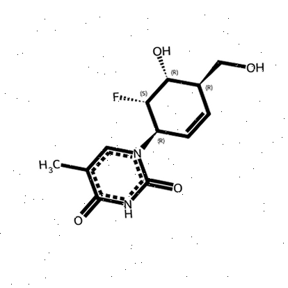 Cc1cn([C@@H]2C=C[C@H](CO)[C@@H](O)[C@H]2F)c(=O)[nH]c1=O